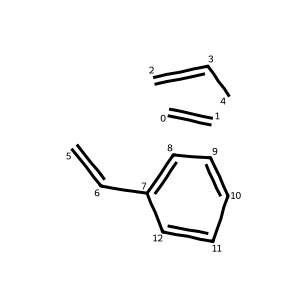 C=C.C=CC.C=Cc1ccccc1